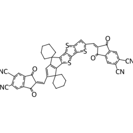 N#Cc1cc2c(cc1C#N)C(=O)C(=CC1=CC3=C(c4sc5c(sc6cc(C=C7C(=O)c8cc(C#N)c(C#N)cc8C7=O)sc65)c4C34CCCCC4)C13CCCCC3)C2=O